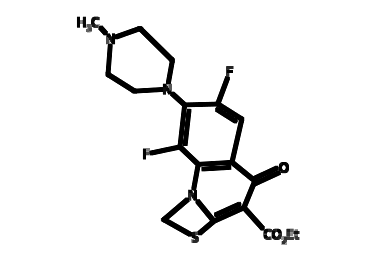 CCOC(=O)c1c2n(c3c(F)c(N4CCN(C)CC4)c(F)cc3c1=O)CS2